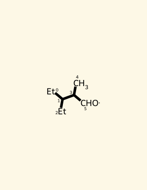 CCC(CC)C(C)[C]=O